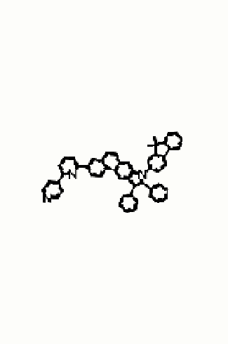 CC1(C)c2ccccc2-c2ccc(-n3c(-c4ccccc4)c(-c4ccccc4)c4cc5c(ccc6cc(-c7cccc(-c8ccncc8)n7)ccc65)cc43)cc21